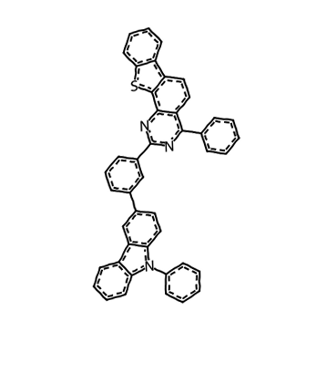 c1ccc(-c2nc(-c3cccc(-c4ccc5c(c4)c4ccccc4n5-c4ccccc4)c3)nc3c2ccc2c4ccccc4sc23)cc1